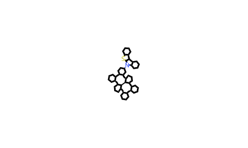 c1ccc2c(c1)sc1c2c2ccccc2n1-c1ccc2c(c1)c1cccc3c1-c1c(cccc1c1ccccc12)c1ccccc1c1ccccc31